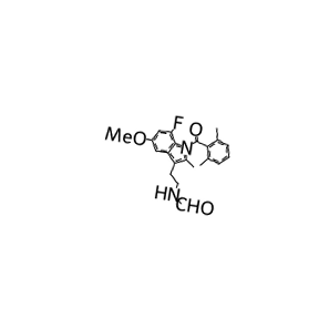 COc1cc(F)c2c(c1)c(CCNC=O)c(C)n2C(=O)c1c(C)cccc1C